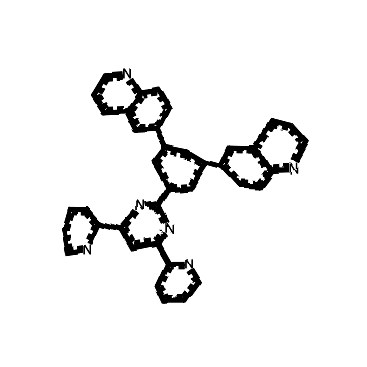 c1ccc(-c2cc(-c3ccccn3)nc(-c3cc(-c4ccc5ncccc5c4)cc(-c4ccc5ncccc5c4)c3)n2)nc1